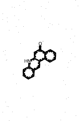 O=c1[c]c2[nH]c3ccccc3cc-2c2ccccc12